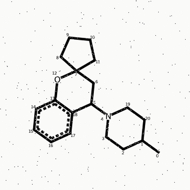 CC1CCN(C2CC3(CCCC3)Oc3ccccc32)CC1